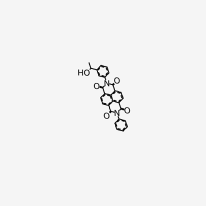 CC(O)c1cccc(N2C(=O)c3ccc4c5c(ccc(c35)C2=O)C(=O)N(c2ccccc2)C4=O)c1